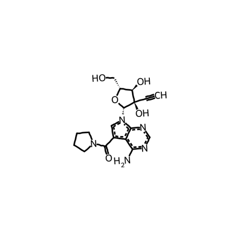 C#C[C@@]1(O)[C@H](O)[C@@H](CO)O[C@H]1n1cc(C(=O)N2CCCC2)c2c(N)ncnc21